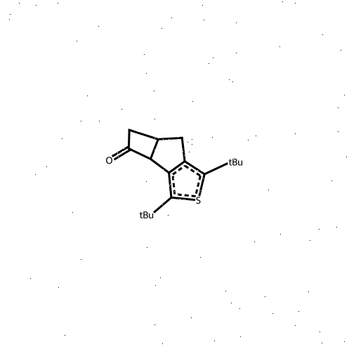 CC(C)(C)c1sc(C(C)(C)C)c2c1CC1CC(=O)C21